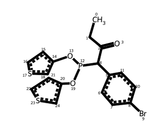 CCC(=O)C(c1ccc(Br)cc1)P(Oc1ccsc1)Oc1ccsc1